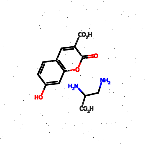 NCC(N)C(=O)O.O=C(O)c1cc2ccc(O)cc2oc1=O